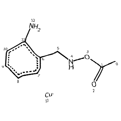 CC(=O)ONCc1ccccc1N.[Cu]